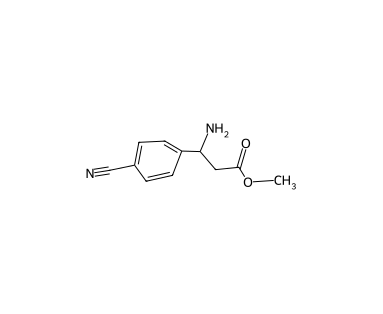 COC(=O)CC(N)c1ccc(C#N)cc1